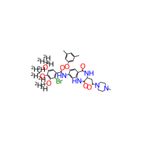 [2H]C([2H])([2H])Oc1cc(C(=O)Nc2cc3c(cc2Oc2cc(C)cc(C)c2)C(=O)NC(CC(=O)N2CCN(C)CC2)C(=O)N3)c(Br)c(OC([2H])([2H])[2H])c1OC([2H])([2H])[2H]